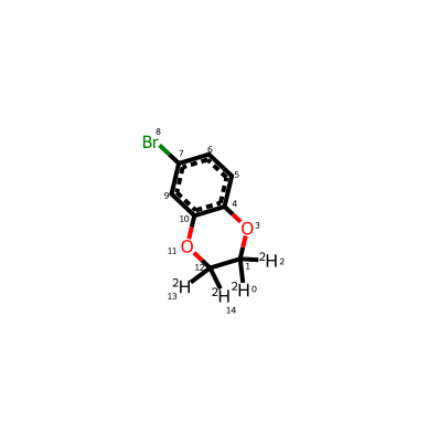 [2H]C1([2H])Oc2ccc(Br)cc2OC1([2H])[2H]